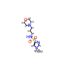 CCCCn1cnc(S(=O)(=O)NCCCN2CCOCC2)c1